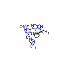 CCn1cc(C(F)(F)F)nc1-c1ccc([C@H](C)n2ncc3cnc(-c4c(OC)ncnc4OC)nc32)cc1